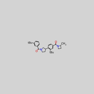 CC1CCN1C(=O)c1ccc(C2CCN(C(=O)c3cccc(C(C)(C)C)c3)C2)c(C(C)(C)C)c1